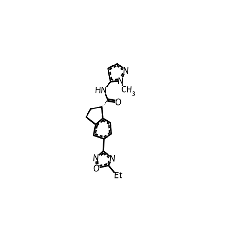 CCc1nc(-c2ccc3c(c2)CC[C@@H]3C(=O)Nc2ccnn2C)no1